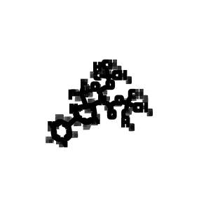 CC(C)(C)OC(=O)N(C(=O)OC(C)(C)C)c1ncc(-c2cncnc2)nc1C(F)(F)F